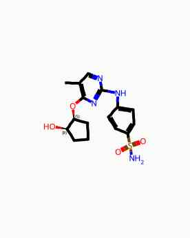 Cc1cnc(Nc2ccc(S(N)(=O)=O)cc2)nc1O[C@H]1CCC[C@H]1O